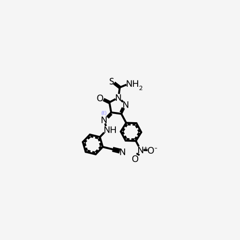 N#Cc1ccccc1N/N=C1/C(=O)N(C(N)=S)N=C1c1ccc([N+](=O)[O-])cc1